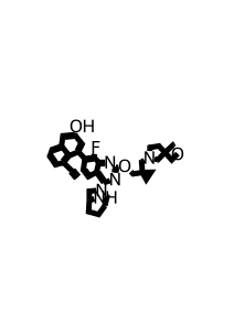 C#Cc1cccc2cc(O)cc(-c3ccc4c(N5CC6CCC(C5)N6)nc(OCC5(CN6CCC7(COC7)C6)CC5)nc4c3F)c12